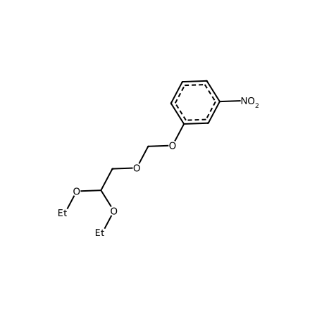 CCOC(COCOc1cccc([N+](=O)[O-])c1)OCC